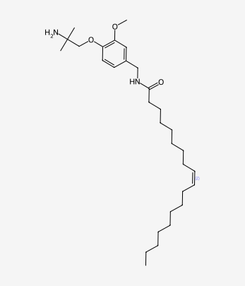 CCCCCCCC/C=C\CCCCCCCC(=O)NCc1ccc(OCC(C)(C)N)c(OC)c1